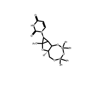 CC(=O)OC12O[C@@H]3CO[Si](C(C)C)(C(C)C)O[Si](C(C)C)(C(C)C)OC3C1[C@@H]2n1ccc(=O)[nH]c1=O